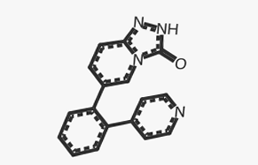 O=c1[nH]nc2ccc(-c3ccccc3-c3ccncc3)cn12